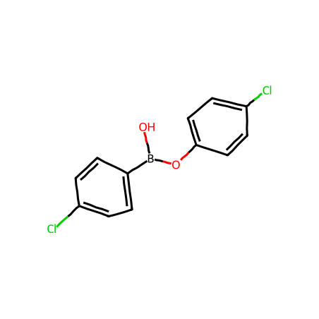 OB(Oc1ccc(Cl)cc1)c1ccc(Cl)cc1